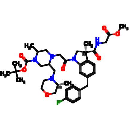 COC(=O)CNC(=O)[C@]1(C)CN(C(=O)CN2CC(C)N(C(=O)OC(C)(C)C)CC2CN2CCOC[C@H]2C)c2cc(Cc3ccc(F)cc3)ccc21